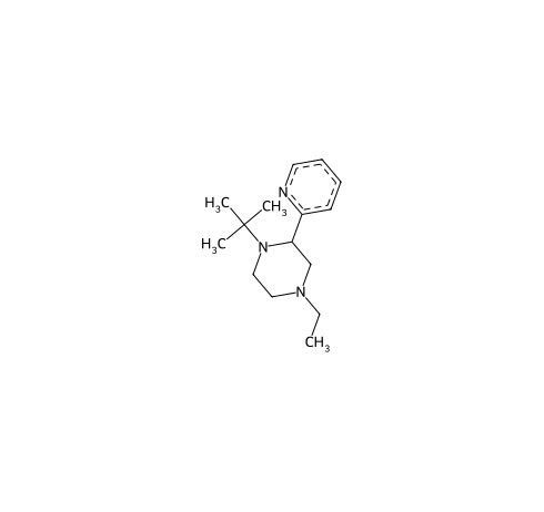 CCN1CCN(C(C)(C)C)C(c2ccccn2)C1